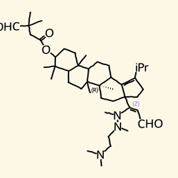 CC(C)C1=C2C3CCC4C5(C)CCC(OC(=O)CC(C)(C)C=O)C(C)(C)C5CCC4(C)[C@]3(C)CCC2(/C(=C/C=O)N(C)N(C)CCN(C)C)CC1